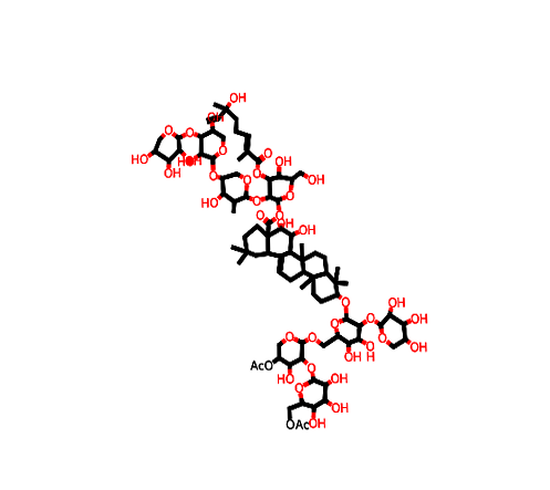 C=CC(C)(O)CC/C=C(\C)C(=O)OC1C(O)C(CO)OC(OC(=O)C23CCC(C)(C)CC2C2=CCC4C(C)(CCC5C(C)(C)C(OC6OC(COC7OCC(OC(C)=O)C(O)C7OC7OC(COC(C)=O)C(O)C(O)C7O)C(O)C(O)C6OC6OCC(O)C(O)C6O)CCC54C)C2C(O)C3O)C1OC1OCC(OC2OCC(O)C(OC3OCC(O)C(O)C3O)C2O)C(O)C1C